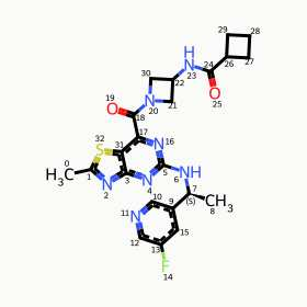 Cc1nc2nc(N[C@@H](C)c3cncc(F)c3)nc(C(=O)N3CC(NC(=O)C4CCC4)C3)c2s1